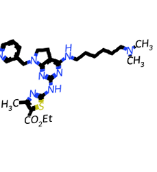 CCOC(=O)c1sc(Nc2nc(NCCCCCCN(C)C)c3c(n2)N(Cc2cccnc2)CC3)nc1C